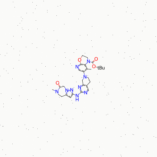 Cc1c(N2CCc3cnc(Nc4cc5n(n4)CC(=O)N(C)CC5)nc3C2)cnc2c1N(C(=O)OC(C)(C)C)CCO2